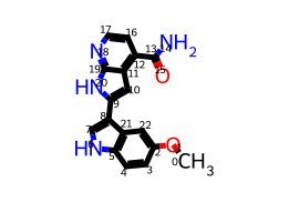 COc1ccc2[nH]cc(-c3cc4c(C(N)=O)ccnc4[nH]3)c2c1